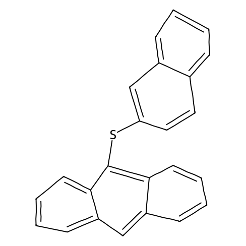 c1ccc2cc(Sc3c4ccccc4cc4ccccc34)ccc2c1